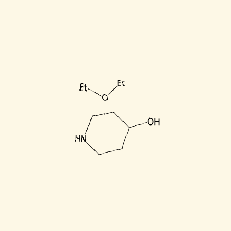 CCOCC.OC1CCNCC1